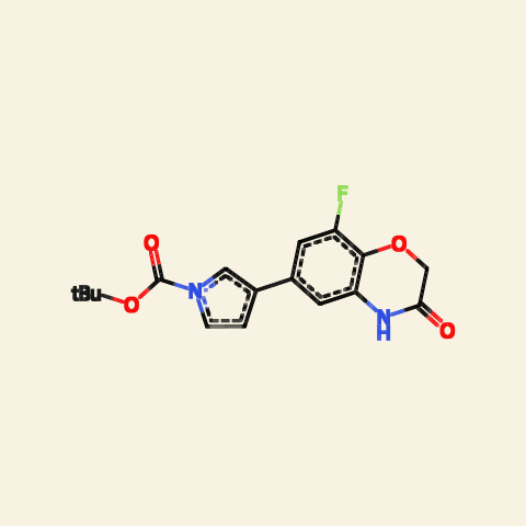 CC(C)(C)OC(=O)n1ccc(-c2cc(F)c3c(c2)NC(=O)CO3)c1